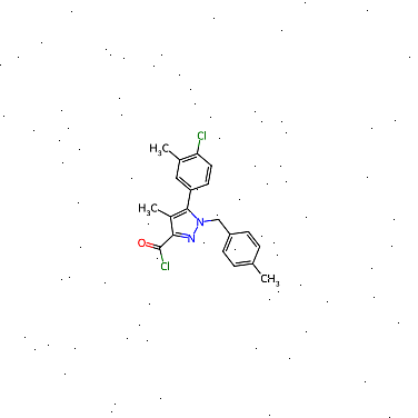 Cc1ccc(Cn2nc(C(=O)Cl)c(C)c2-c2ccc(Cl)c(C)c2)cc1